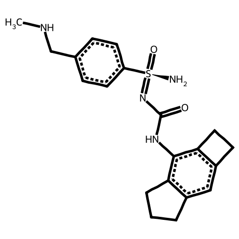 CNCc1ccc([S@](N)(=O)=NC(=O)Nc2c3c(cc4c2CC4)CCC3)cc1